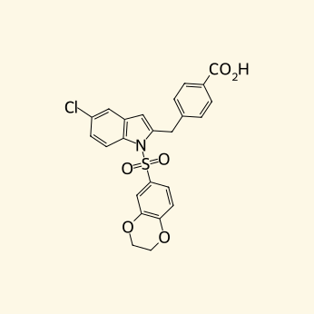 O=C(O)c1ccc(Cc2cc3cc(Cl)ccc3n2S(=O)(=O)c2ccc3c(c2)OCCO3)cc1